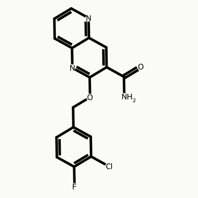 NC(=O)c1cc2ncccc2nc1OCc1ccc(F)c(Cl)c1